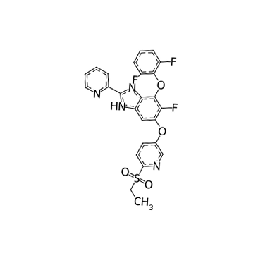 CCS(=O)(=O)c1ccc(Oc2cc3[nH]c(-c4ccccn4)nc3c(Oc3c(F)cccc3F)c2F)cn1